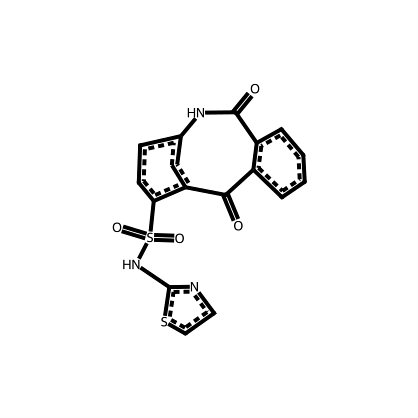 O=C1Nc2ccc(S(=O)(=O)Nc3nccs3)c(c2)C(=O)c2ccccc21